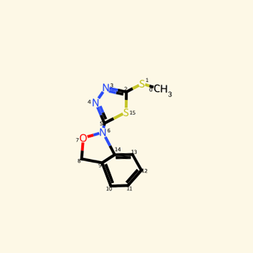 CSc1nnc(N2OCc3ccccc32)s1